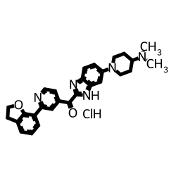 CN(C)C1CCN(c2ccc3nc(C(=O)c4ccnc(-c5cccc6c5OCC6)c4)[nH]c3c2)CC1.Cl